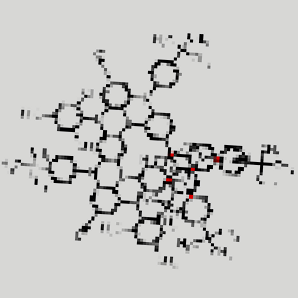 [C-]#[N+]c1cc2c3c(c1)N(c1c(C)cc(C)cc1C)c1cc4c(cc1B3c1cc(C(C)(C)C)ccc1N2c1ccc(C(C)(C)C)cc1)B1c2cc3c(cc2N(c2c(C)cc(C)cc2C)c2cc(C#N)cc(c21)N4c1ccc(C(C)(C)C)cc1)N(c1ccc(C(C)(C)C)cc1)c1cc(C#N)cc2c1B3c1cc(C(C)(C)C)ccc1N2c1ccc(C(C)(C)C)cc1